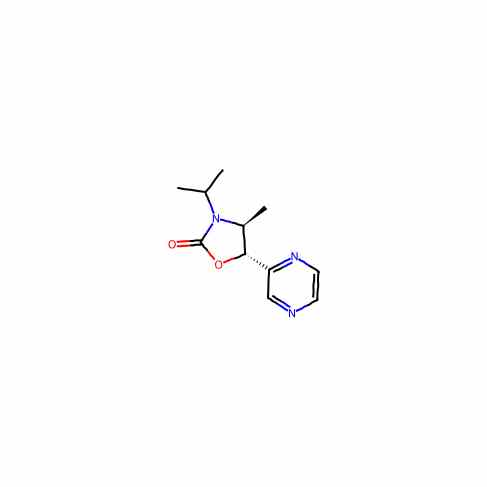 CC(C)N1C(=O)O[C@@H](c2cnccn2)[C@@H]1C